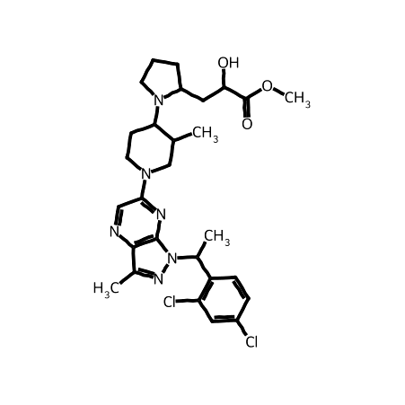 COC(=O)C(O)CC1CCCN1C1CCN(c2cnc3c(C)nn(C(C)c4ccc(Cl)cc4Cl)c3n2)CC1C